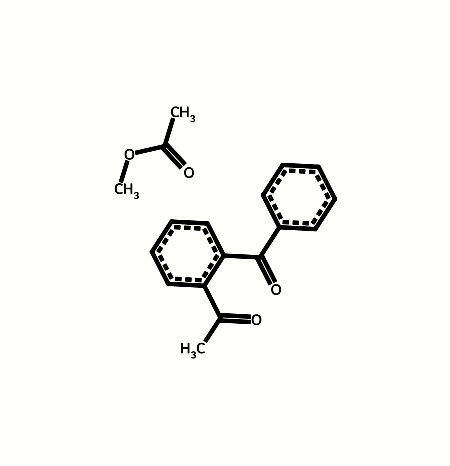 CC(=O)c1ccccc1C(=O)c1ccccc1.COC(C)=O